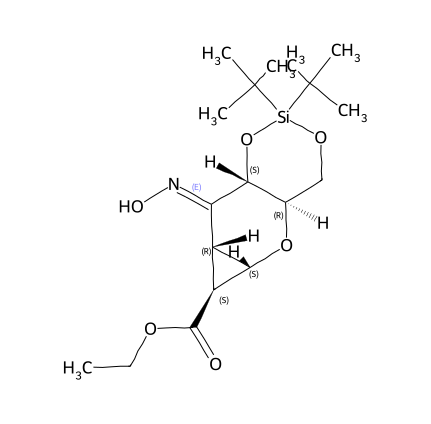 CCOC(=O)[C@@H]1[C@H]2O[C@@H]3CO[Si](C(C)(C)C)(C(C)(C)C)O[C@H]3/C(=N/O)[C@H]21